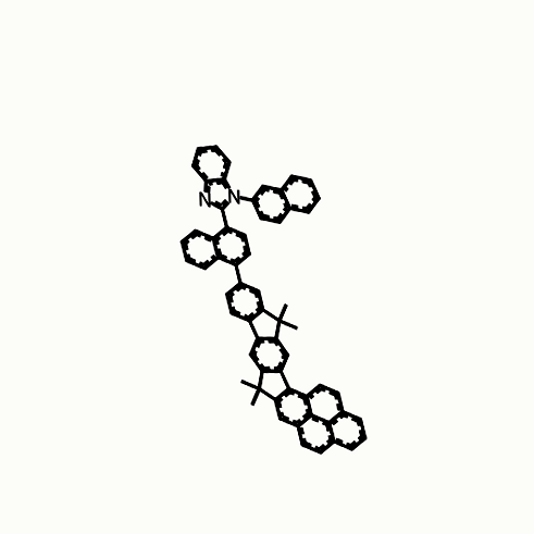 CC1(C)c2cc(-c3ccc(-c4nc5ccccc5n4-c4ccc5ccccc5c4)c4ccccc34)ccc2-c2cc3c(cc21)-c1c(cc2ccc4cccc5ccc1c2c45)C3(C)C